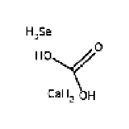 O=C(O)O.[CaH2].[SeH2]